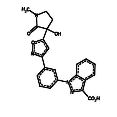 CN1CCC(O)(c2cc(-c3cccc(-n4nc(C(=O)O)c5ccccc54)c3)no2)C1=O